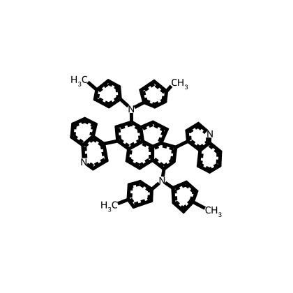 Cc1ccc(N(c2ccc(C)cc2)c2cc(-c3ccnc4ccccc34)c3ccc4c(N(c5ccc(C)cc5)c5ccc(C)cc5)cc(-c5ccnc6ccccc56)c5ccc2c3c54)cc1